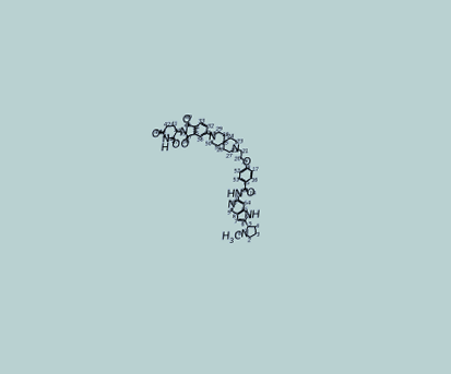 CN1CCC[C@@H]1c1cc2cnc(NC(=O)c3ccc(OCCN4CCC5(CC4)CCN(c4ccc6c(c4)C(=O)N(C4CCC(=O)NC4=O)C6=O)CC5)cc3)cc2[nH]1